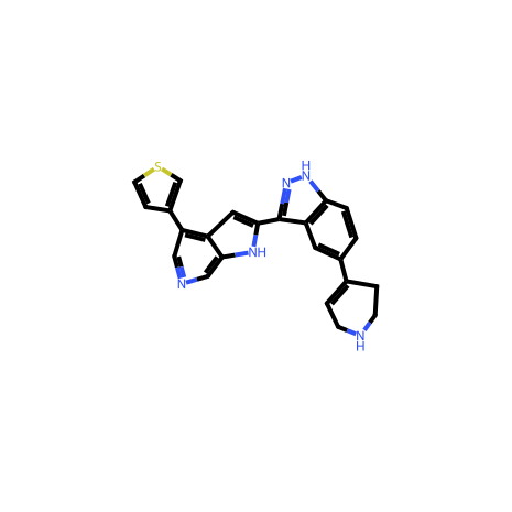 C1=C(c2ccc3[nH]nc(-c4cc5c(-c6ccsc6)cncc5[nH]4)c3c2)CCNC1